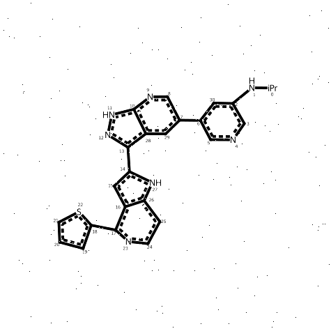 CC(C)Nc1cncc(-c2cnc3[nH]nc(-c4cc5c(-c6cccs6)nccc5[nH]4)c3c2)c1